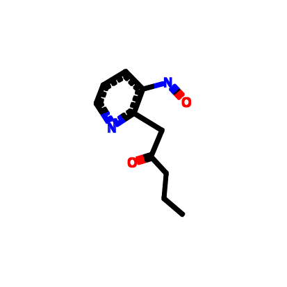 CCCC(=O)Cc1ncccc1N=O